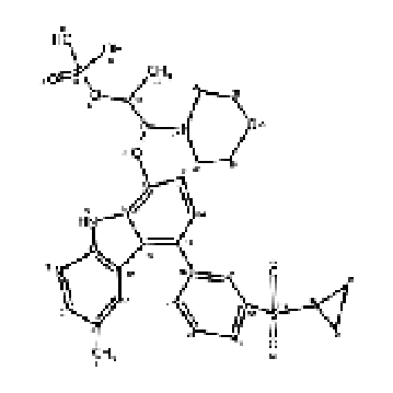 Cc1cnc2[nH]c3c(O[C@H](C(C)OP(=O)(O)O)N4CCOCC4)ccc(-c4cccc(S(=O)(=O)C5CC5)c4)c3c2c1